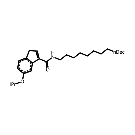 CCCCCCCCCCCCCCCCCCNC(=O)C1=CCc2ccc(OC(C)C)cc21